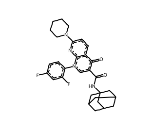 O=C(NC12CC3CC(CC(C3)C1)C2)c1cn(-c2ccc(F)cc2F)c2nc(N3CCCCC3)ccc2c1=O